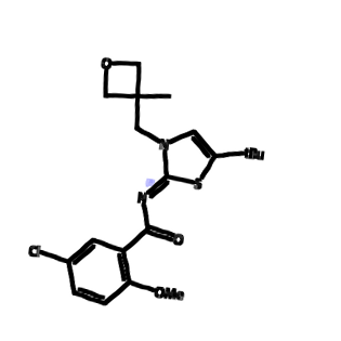 COc1ccc(Cl)cc1C(=O)/N=c1\sc(C(C)(C)C)cn1CC1(C)COC1